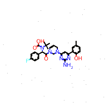 Cc1ccc(O)c(-c2cc(N3CC=CN(C(=O)[C@@H](c4ccc(F)cc4)N(C(=O)O)C(C)(C)C)C3)nc(N)n2)c1